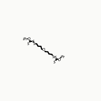 CC(C)OC(=S)SSCCCCOCCCCSSC(=S)OC(C)C